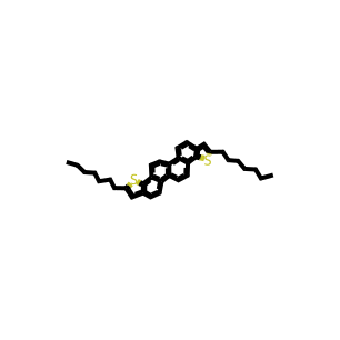 CCCCCCCc1cc2ccc3c4ccc5c(ccc6cc(CCCCCCC)sc65)c4ccc3c2s1